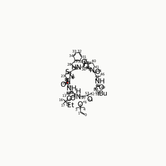 C=CC(C)(C)OC[C@@H]1NC(=O)[C@H]([C@@H](C)OC(C)(C)CC)NC(=O)[C@@H]2CSC(=N2)C(Cc2ccccc2)NC(=O)[C@@H]2CCCN2C(=O)C(C)NC(=O)[C@H]([C@@H](C)CC)CC1=O